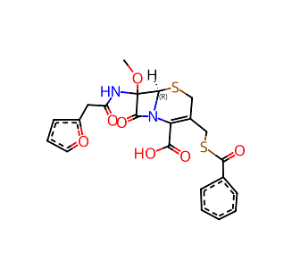 COC1(NC(=O)Cc2ccco2)C(=O)N2C(C(=O)O)=C(CSC(=O)c3ccccc3)CS[C@@H]21